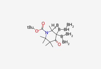 BBB(B)C1(B(B)B)C(=O)C(C)(C)C(C)(C)N(C(=O)OC(C)(C)C)C1(C)C